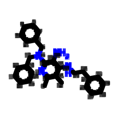 Cc1nc(N(Cc2ccccc2)Cc2ccccc2)c(N)c(NCCc2ccccc2)c1C